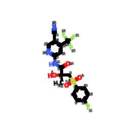 C[C@](O)(CS(=O)(=O)c1ccc(F)cc1)C(=O)Nc1cc(C(F)(F)F)c(C#N)cn1